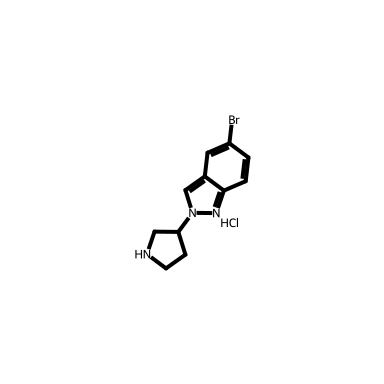 Brc1ccc2nn(C3CCNC3)cc2c1.Cl